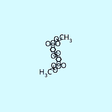 CCC(=O)OC1OC(=O)c2ccc(S(=O)(=O)c3ccc4c(c3)C(OC(=O)CC)OC4=O)cc21